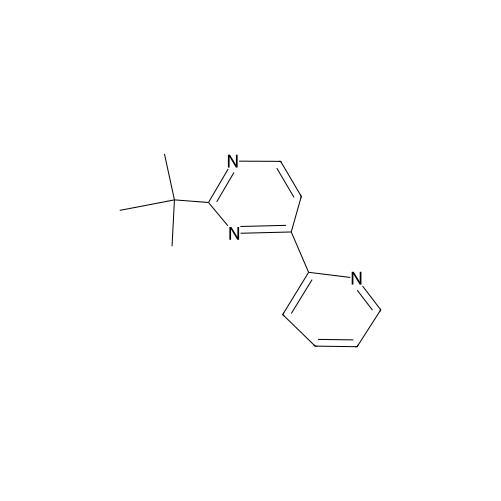 CC(C)(C)c1nccc(-c2ccccn2)n1